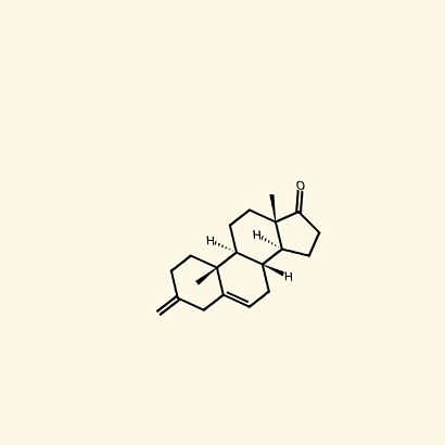 C=C1CC[C@@]2(C)C(=CC[C@@H]3[C@@H]2CC[C@]2(C)C(=O)CC[C@@H]32)C1